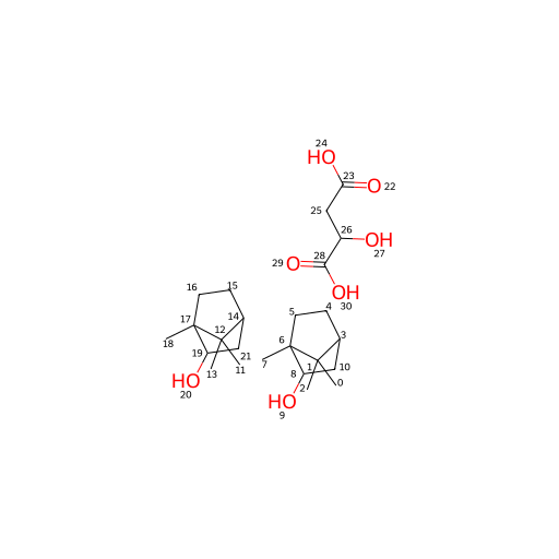 CC1(C)C2CCC1(C)C(O)C2.CC1(C)C2CCC1(C)C(O)C2.O=C(O)CC(O)C(=O)O